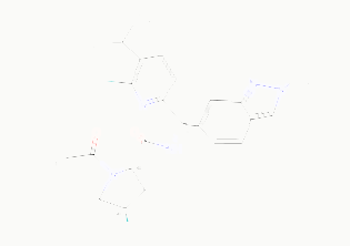 CC(=O)N1C[C@H](F)C[C@H]1C(=O)N[C@@H](c1ccc2cn(C)nc2c1)c1ccc(C(C)C)c(F)n1